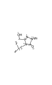 CC(C)n1nc(CO)n(CC(F)F)c1=O